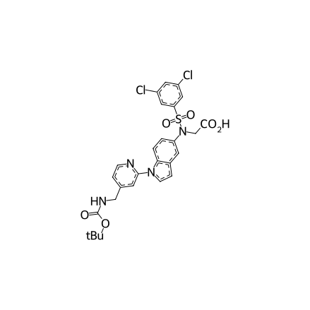 CC(C)(C)OC(=O)NCc1ccnc(-n2ccc3cc(N(CC(=O)O)S(=O)(=O)c4cc(Cl)cc(Cl)c4)ccc32)c1